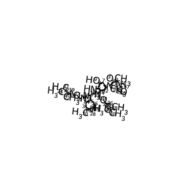 C[C@@H](C(=O)N(C)c1cc(O)c2[nH]c(-c3nn(COCC[Si](C)(C)C)c4c3C[C@@H]3C[C@]3(C)C4)[n+](COCC[Si](C)(C)C)c2c1)N1CCOCC1